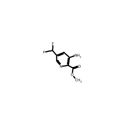 COC(=O)c1ncc(C(F)F)cc1N